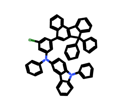 Clc1cc(-c2cc3c(c4ccccc24)-c2ccccc2C3(c2ccccc2)c2ccccc2)cc(N(c2ccccc2)c2ccc3c(c2)c2ccccc2n3-c2ccccc2)c1